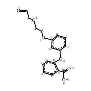 O=CCOCCOc1cccc(Oc2ccccc2C(=O)O)c1